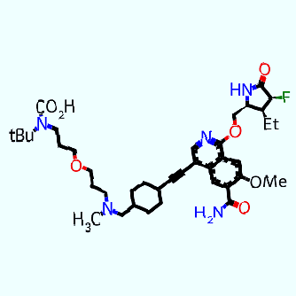 CC[C@@H]1[C@H](F)C(=O)N[C@@H]1COc1ncc(C#CC2CCC(CN(C)CCCOCCCN(C(=O)O)C(C)(C)C)CC2)c2cc(C(N)=O)c(OC)cc12